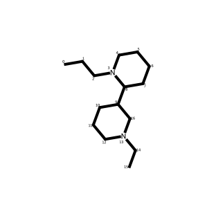 CCCN1CCC[CH]C1C1CCCN(CC)C1